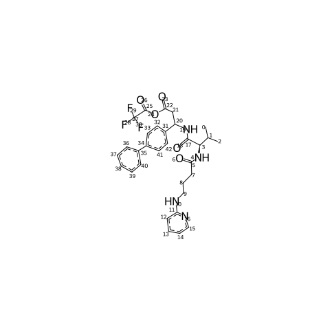 CC(C)[C@@H](NC(=O)CCCNc1ccccn1)C(=O)NC(CC(=O)OC(=O)C(F)(F)F)c1ccc(-c2ccccc2)cc1